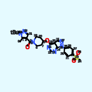 Cc1c(C(=O)N2CCC(Oc3ncnc4c3cnn4-c3ccc(S(C)(=O)=O)cc3)CC2)cnn1C(C)(C)C